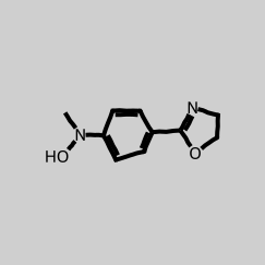 CN(O)c1ccc(C2=NCCO2)cc1